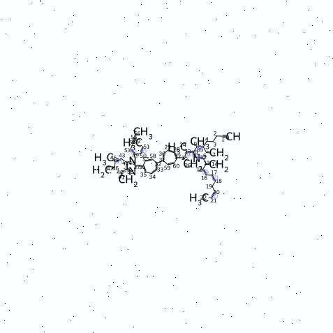 C#CCCC/C(C=C)=C(C)/C(/N=C/C(=C)/C=C\C=C/C/C=C\C)=C(\C)C(=C)C1=C=CC=C(C2=C=CC=C(c3nc(C=C)c(/C=C(/C)C=C)n3C(/C=C\C)=C/C#CC)C=C2)C=C1